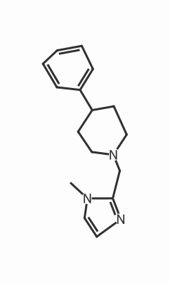 Cn1ccnc1CN1CCC(c2ccccc2)CC1